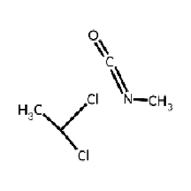 CC(Cl)Cl.CN=C=O